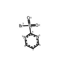 O=S(=O)(Br)c1ncccn1